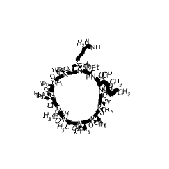 C/C=C/C[C@@H](C)[C@@H](O)[C@@H]1C(=O)N[C@H](CC)C(=O)N(C)[C@H](CSCCCC(=N)N)C(=O)N(C)[C@@H](CC(C)C)C(=O)N[C@H](C(C)C)C(=O)N(C)[C@H](CC(C)C)C(=O)N[C@H](C)C(=O)N[C@@H](C)C(=O)N(C)[C@H](CC(C)C)C(=O)N(C)[C@H](CC(C)C)C(=O)N(C)[C@H](C(C)C)C(=O)N1C